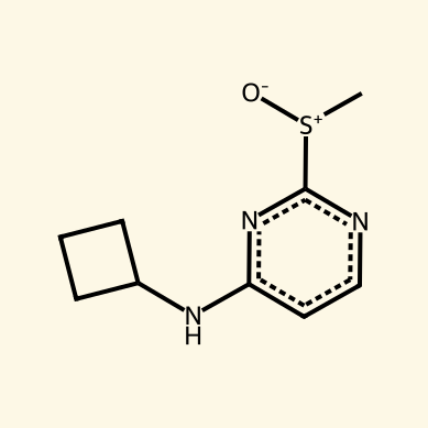 C[S+]([O-])c1nccc(NC2CCC2)n1